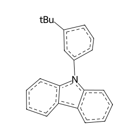 CC(C)(C)c1cccc(-n2c3ccccc3c3ccccc32)c1